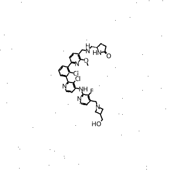 COc1nc(-c2cccc(-c3nccc(Nc4nccc(CN5CC(CO)C5)c4F)c3Cl)c2Cl)ccc1CNC[C@H]1CCC(=O)N1